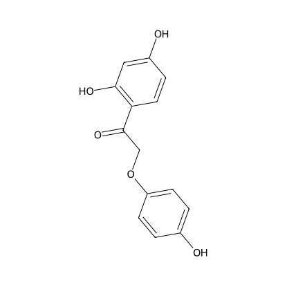 O=C(COc1ccc(O)cc1)c1ccc(O)cc1O